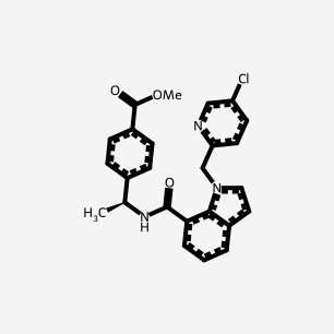 COC(=O)c1ccc([C@H](C)NC(=O)c2cccc3ccn(Cc4ccc(Cl)cn4)c23)cc1